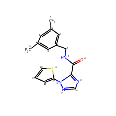 O=C(NCc1cc(C(F)(F)F)cc(C(F)(F)F)c1)c1ncnn1-c1cccs1